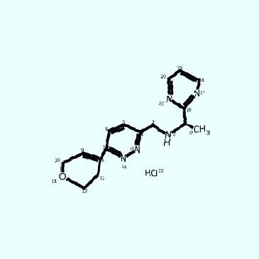 C[C@@H](NCc1ccc(C2=CCOCC2)nn1)c1ncccn1.Cl